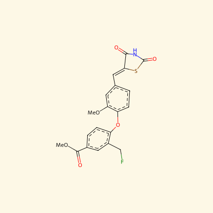 COC(=O)c1ccc(Oc2ccc(/C=C3\SC(=O)NC3=O)cc2OC)c(CF)c1